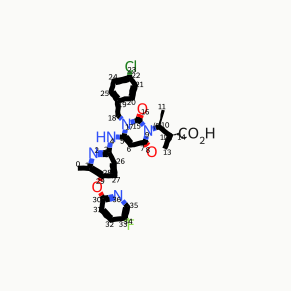 Cc1nc(Nc2cc(=O)n([C@@H](C)[C@@H](C)C(=O)O)c(=O)n2Cc2ccc(Cl)cc2)ccc1Oc1ccc(F)cn1